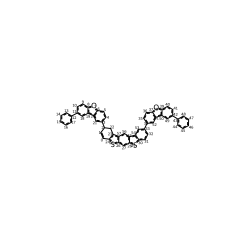 C1=CC(c2ccc3oc4ccc(-c5ccccc5)cc4c3c2)Cc2c1sc1cc3sc4ccc(-c5ccc6oc7ccc(-c8ccccc8)cc7c6c5)cc4c3cc21